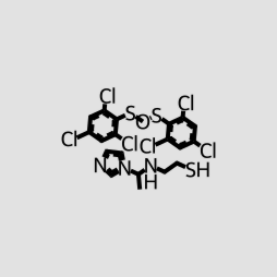 CC(NCCS)n1ccnc1.Clc1cc(Cl)c(SOSc2c(Cl)cc(Cl)cc2Cl)c(Cl)c1